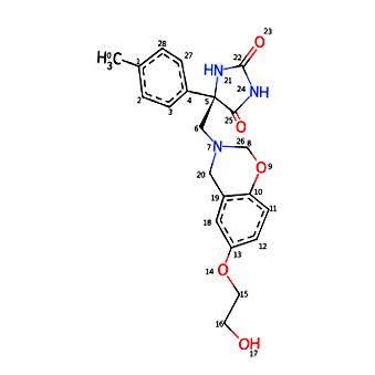 Cc1ccc([C@]2(CN3COc4ccc(OCCO)cc4C3)NC(=O)NC2=O)cc1